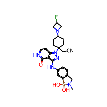 CN1Cc2ccc(Nc3nn(C4(CC#N)CCC(N5CC(F)C5)CC4)c4cc[nH]c(=O)c34)cc2S1(O)O